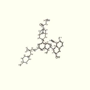 C#Cc1c(F)ccc2cc(O)cc(-c3ncc4c(N5CC6CC(C(=O)CC(C)(C)C)CC(C5)N6)nc(OCC5(CN6CCC(F)CC6)CC5)nc4c3F)c12